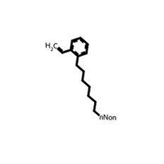 C=Cc1ccccc1CCCCCCCCCCCCCCCC